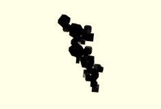 COc1cc(C#N)cnc1N1CCN(C(=O)c2cc(Cc3n[nH]c(=O)c4ccc(OC5CCC5)cc34)ccc2F)CC1